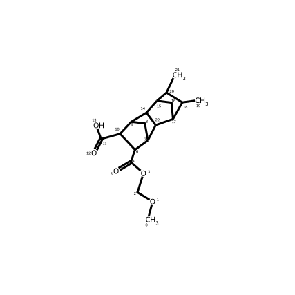 COCOC(=O)C1C2CC(C1C(=O)O)C1C3CC(C(C)C3C)C21